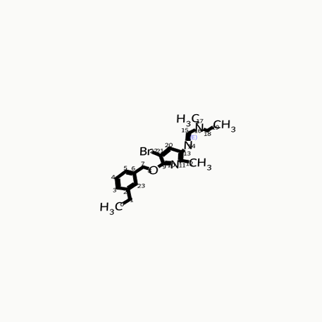 CCc1cccc(COc2nc(C)c(/N=C/N(C)CC)cc2Br)c1